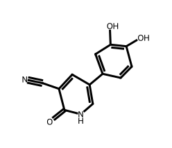 N#Cc1cc(-c2ccc(O)c(O)c2)c[nH]c1=O